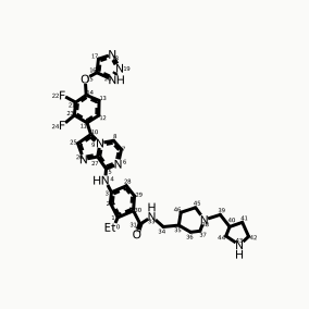 CCc1cc(Nc2nccn3c(-c4ccc(Oc5cnn[nH]5)c(F)c4F)cnc23)ccc1C(=O)NCC1CCN(CC2CCNC2)CC1